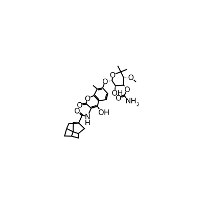 CO[C@@H]1[C@@H](OC(N)=O)[C@@H](O)[C@H](Oc2ccc3c(O)c(NC(=O)C45CC6CC7CC(C4)C76C5)c(=O)oc3c2C)OC1(C)C